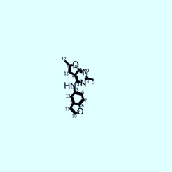 Cc1nc(Nc2ccc3occc3c2)c2cc(C)oc2n1